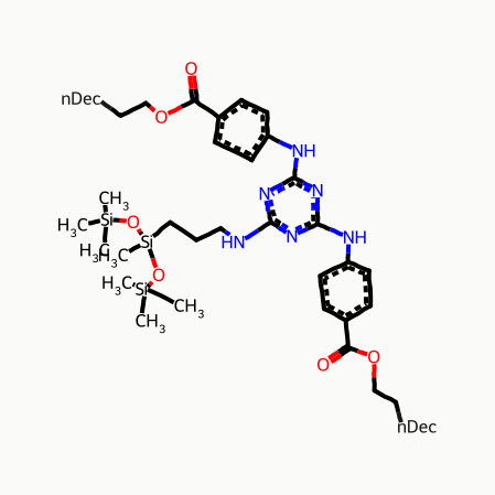 CCCCCCCCCCCCOC(=O)c1ccc(Nc2nc(NCCC[Si](C)(O[Si](C)(C)C)O[Si](C)(C)C)nc(Nc3ccc(C(=O)OCCCCCCCCCCCC)cc3)n2)cc1